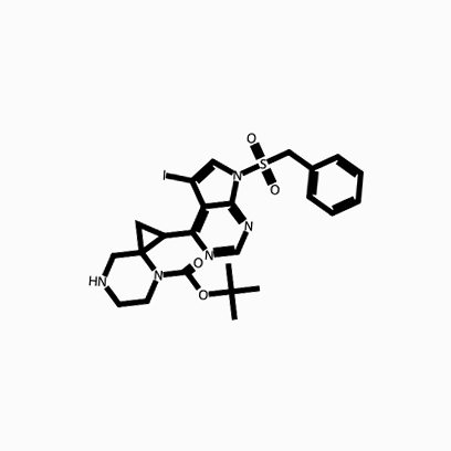 CC(C)(C)OC(=O)N1CCNCC12CC2c1ncnc2c1c(I)cn2S(=O)(=O)Cc1ccccc1